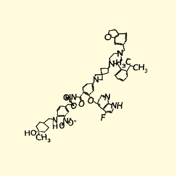 CC(C)c1ccccc1C1CN(Cc2ccc3c(c2)OCC3)CCN1C1CC2(C1)CN(c1ccc(C(=O)NS(=O)(=O)c3ccc(NCC4CCC(C)(O)CC4)c([N+](=O)[O-])c3)c(Oc3cnc4[nH]cc(F)c4c3)c1)C2